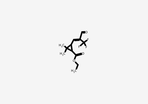 CCOC(=O)C1C(C=C(C=O)C(F)(F)F)C1(C)C